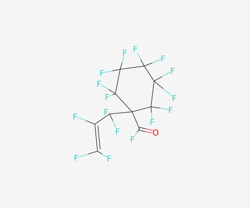 O=C(F)C1(C(F)(F)C(F)=C(F)F)C(F)(F)C(F)(F)C(F)(F)C(F)(F)C1(F)F